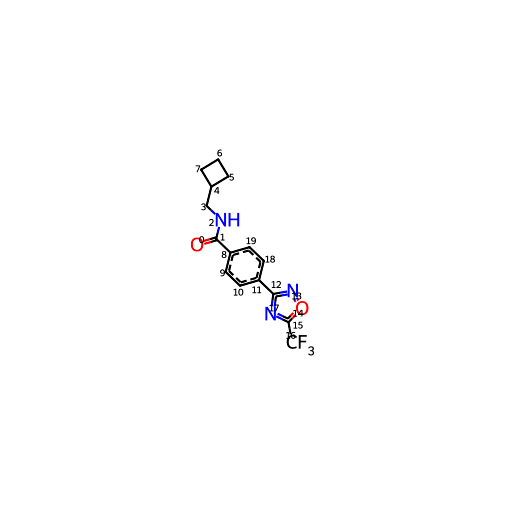 O=C(NCC1CCC1)c1ccc(-c2noc(C(F)(F)F)n2)cc1